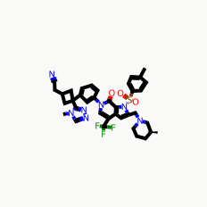 Cc1ccc(S(=O)(=O)n2c(CN3CCC[C@H](C)C3)cc3c(C(F)(F)F)cn(-c4cccc(C5(c6nncn6C)CC(CC#N)C5)c4)c(=O)c32)cc1